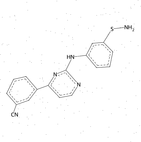 N#Cc1cccc(-c2ccnc(Nc3cccc(SN)c3)n2)c1